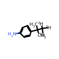 [2H]C([2H])([2H])C(C)(C)c1ccc(N)cc1